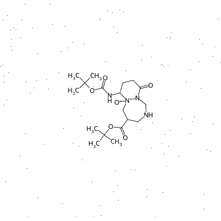 CC(C)(C)OC(=O)NC1CCC(=O)N2CNCC(C(=O)OC(C)(C)C)C[N+]12[O-]